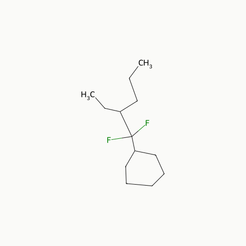 CCCC(CC)C(F)(F)C1CCCCC1